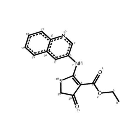 CCOC(=O)C1=C(Nc2cnc3ccccc3c2)SCC1=O